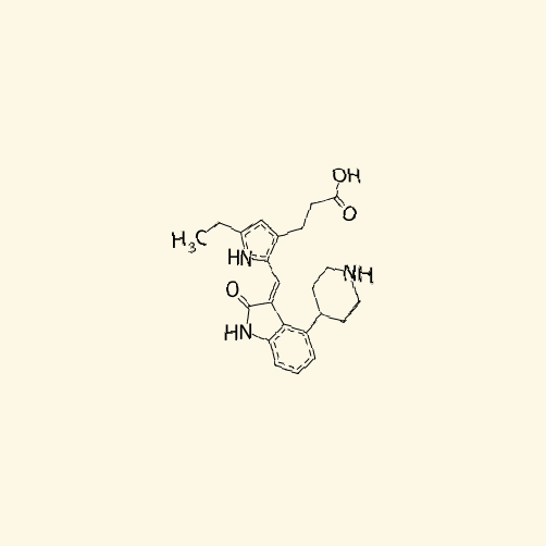 CCc1cc(CCC(=O)O)c(C=C2C(=O)Nc3cccc(C4CCNCC4)c32)[nH]1